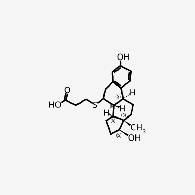 C[C@]12CC[C@@H]3c4ccc(O)cc4CC(SCCC(=O)O)[C@H]3[C@@H]1CC[C@@H]2O